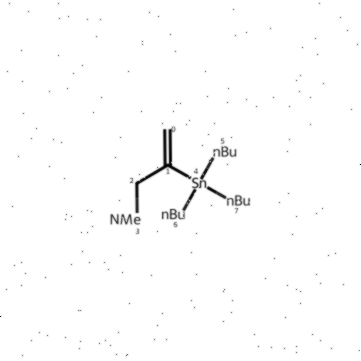 C=[C](CNC)[Sn]([CH2]CCC)([CH2]CCC)[CH2]CCC